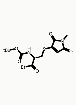 CCC(=O)[C@H](CSC1=CC(=O)N(C)C1=O)NC(=O)OC(C)(C)C